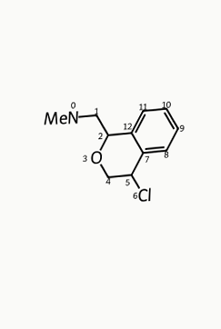 CNCC1OCC(Cl)c2ccccc21